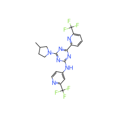 CC1CCN(c2nc(Nc3ccnc(C(F)(F)F)c3)nc(-c3cccc(C(F)(F)F)n3)n2)C1